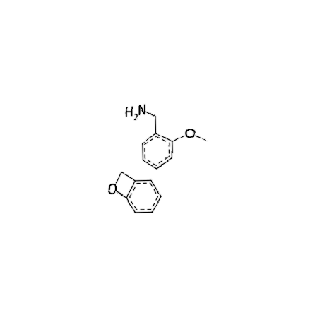 COc1ccccc1CN.c1ccc2c(c1)CO2